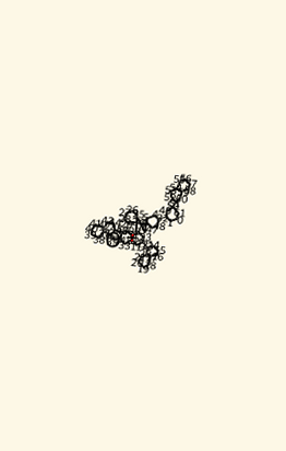 c1cc(-c2ccc(N(c3cccc(-c4cccc5ccccc45)c3)c3ccccc3-c3cccc4oc5c6ccccc6ccc5c34)cc2)cc(-c2ccc3ccccc3c2)c1